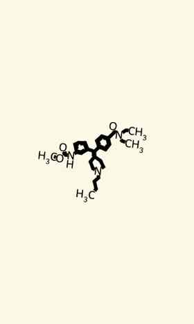 CCCCN1CCC(=C(c2ccc(C(=O)N(CC)CC)cc2)c2cccc(NC(=O)OC)c2)CC1